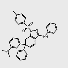 Cc1ccc(S(=O)(=O)n2nc(Nc3ccccc3)c3c2CC(c2ccccc2)(c2cccc(N(C)C)c2)C=C3)cc1